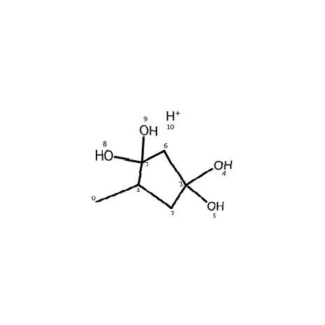 CC1CC(O)(O)CC1(O)O.[H+]